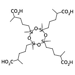 CC(CCC[Si]1(C)O[Si](C)(CCCC(C)C(=O)O)O[Si](C)(CCCC(C)C(=O)O)O[Si](C)(CCCC(C)C(=O)O)O1)C(=O)O